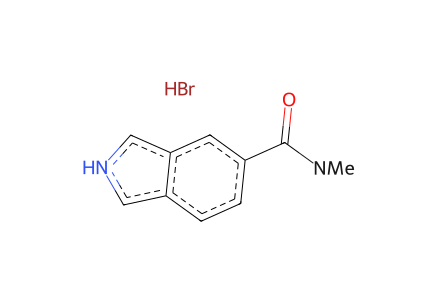 Br.CNC(=O)c1ccc2c[nH]cc2c1